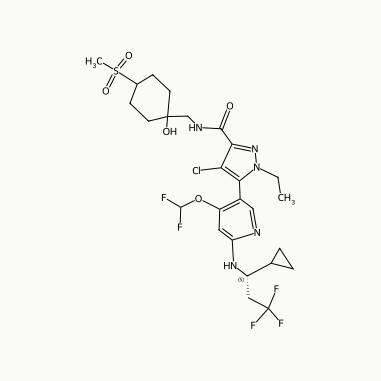 CCn1nc(C(=O)NCC2(O)CCC(S(C)(=O)=O)CC2)c(Cl)c1-c1cnc(N[C@@H](CC(F)(F)F)C2CC2)cc1OC(F)F